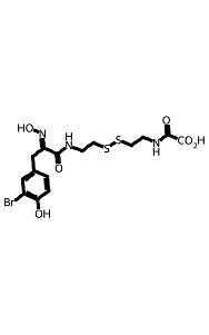 O=C(O)C(=O)NCCSSCCNC(=O)/C(Cc1ccc(O)c(Br)c1)=N/O